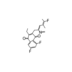 C=N/C(=C\C(C)=C(/C)F)CC1=C(CC)C(=O)c2cc(F)cc(F)c2C1=O